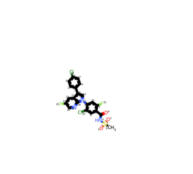 CS(=O)(=O)NC(=O)c1cc(Cl)c(-n2cc(-c3ccc(Cl)cc3)c3cc(F)cnc32)cc1F